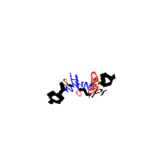 Cc1ccc(-c2csc(NC(=O)C(CC(C)C)NS(=O)(=O)c3ccc(C)cc3)n2)cc1